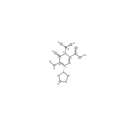 COC(=O)C1=CC([C@@H]2CCOC2)=C(OC)C(=O)C1[N+](=O)[O-]